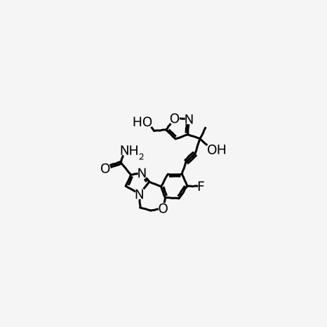 CC(O)(C#Cc1cc2c(cc1F)OCCn1cc(C(N)=O)nc1-2)c1cc(CO)on1